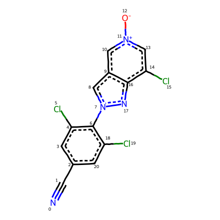 N#Cc1cc(Cl)c(-n2cc3c[n+]([O-])cc(Cl)c3n2)c(Cl)c1